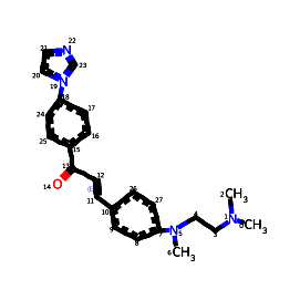 CN(C)CCN(C)c1ccc(/C=C/C(=O)c2ccc(-n3ccnc3)cc2)cc1